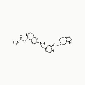 NC(=O)Oc1nccc2cc(NCc3ccnc(OCC4CCn5ccnc5C4)c3)ccc12